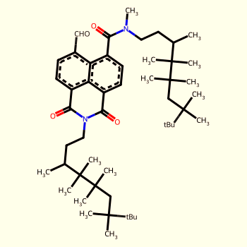 CC(CCN(C)C(=O)c1ccc2c3c(ccc(C=O)c13)C(=O)N(CCC(C)C(C)(C)C(C)(C)CC(C)(C)C(C)(C)C)C2=O)C(C)(C)C(C)(C)CC(C)(C)C(C)(C)C